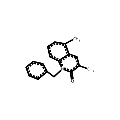 Cc1cc2c(C)cccc2n(Cc2ccccc2)c1=O